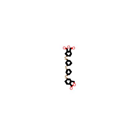 O=C1OCc2cc(Sc3cccc(Sc4cccc(Sc5ccc6c(c5)C(=O)OC6=O)c4)c3)ccc21